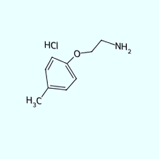 Cc1ccc(OCCN)cc1.Cl